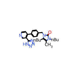 CCCCc1c(C)n(CCCC)c(=O)n1Cc1ccc(-c2ccncc2-c2nnn[nH]2)cc1